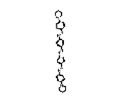 c1cc(N=Nc2ccc(N3CCCCC3)cc2)ccc1N=Nc1ccc(N=Nc2ccc(N3CCCCC3)cc2)cc1